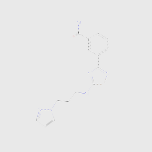 NC(=O)c1cccc(-c2nsc(NCCCn3cccn3)n2)c1